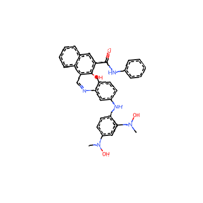 Cc1ccc(Nc2ccc(N(C)O)cc2N(C)O)cc1/N=C\c1c(O)c(C(=O)Nc2ccccc2)cc2ccccc12